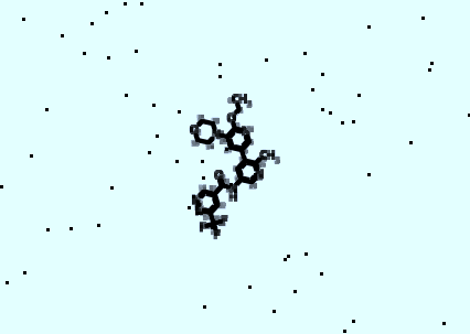 CCOc1ncc(-c2cc(NC(=O)c3cnnc(C(F)(F)F)c3)cnc2C)cc1N1CCOCC1